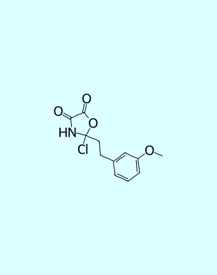 COc1cccc(CCC2(Cl)NC(=O)C(=O)O2)c1